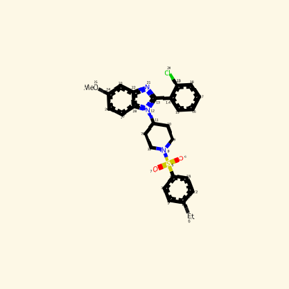 CCc1ccc(S(=O)(=O)N2CCC(n3c(-c4ccccc4Cl)nc4cc(OC)ccc43)CC2)cc1